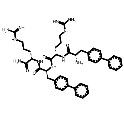 N=C(N)NCCC[C@H](NC(=O)[C@H](Cc1ccc(-c2ccccc2)cc1)NC(=O)[C@H](CCCNC(=N)N)NC(=O)[C@@H](N)Cc1ccc(-c2ccccc2)cc1)C(N)=O